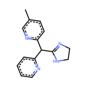 Cc1ccc(C(C2=NCCN2)c2ccccn2)nc1